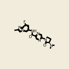 Cc1cn2cc(NC(=O)c3cnc(N4CC[C@@H](N(C)C)C4=O)cn3)cc(F)c2n1